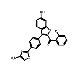 Nc1coc(-c2ccc(-c3c(C(=O)c4ccccc4F)sc4cc(O)ccc34)cc2)n1